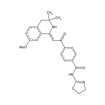 COc1ccc2c(c1)/C(=C/C(=O)c1ccc(C(=O)NC3=NCCS3)cc1)NC(C)(C)C2